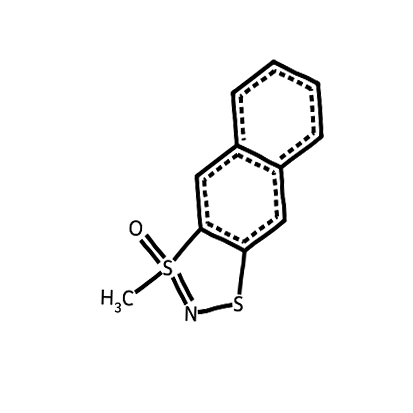 CS1(=O)=NSc2cc3ccccc3cc21